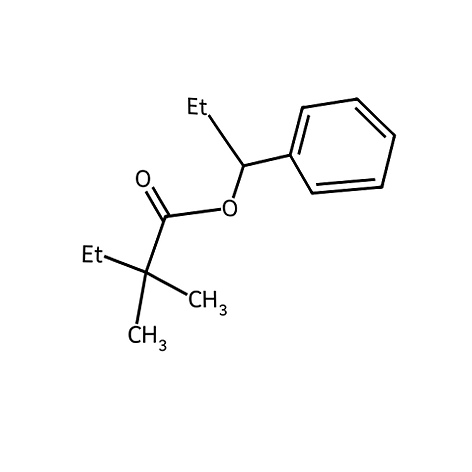 CCC(OC(=O)C(C)(C)CC)c1ccccc1